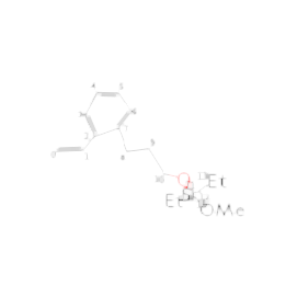 C=Cc1ccccc1CCCO[Si](CC)(CC)OC